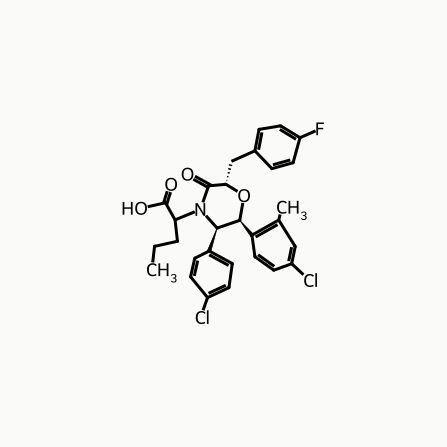 CCCC(C(=O)O)N1C(=O)[C@H](Cc2ccc(F)cc2)O[C@@H](c2ccc(Cl)cc2C)[C@H]1c1ccc(Cl)cc1